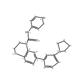 O=C(NC1=CCNC=C1)N1CCOc2ccc(-c3cccc(N4CCCC4)c3)nc21